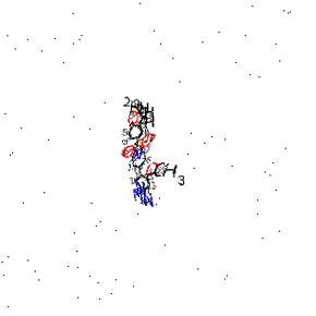 [2H]C1([2H])Oc2ccc(S(=O)(=O)N3CCC(c4cn5ncnc5cc4OC)CC3)cc2C1([2H])[2H]